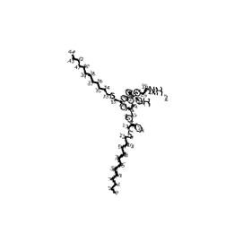 CCCCCCCCCCCCSCC(=O)OC[C@H](COP(=O)(O)OCCN)OC(=O)CSCCCCCCCCCCCC